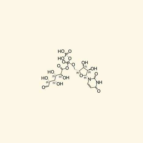 O=C[C@H](O)[C@@H](O)[C@H](O)[C@H](O)C(=O)OP(=O)(OC[C@H]1O[C@@H](n2ccc(=O)[nH]c2=O)[C@H](O)[C@@H]1O)OP(=O)(O)O